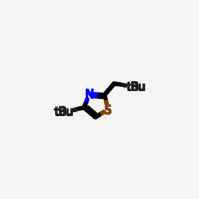 CC(C)(C)Cc1nc(C(C)(C)C)cs1